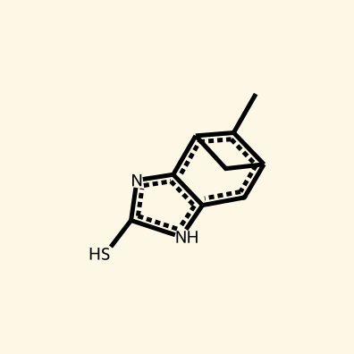 Cc1c2cc3[nH]c(S)nc3c1C2